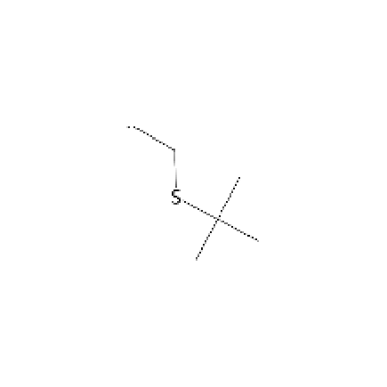 [CH2]CSC(C)(C)C